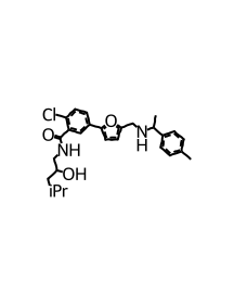 Cc1ccc(C(C)NCc2ccc(-c3ccc(Cl)c(C(=O)NCC(O)CC(C)C)c3)o2)cc1